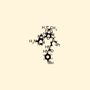 CC(C)CN(CCNC(=O)Nc1ccc(C(C)(C)C)cc1)C[C@H]1OC(n2cnc3c(N)ncnc32)[C@@H]2OC(C)(C)O[C@H]12